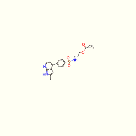 Cc1cc2c(-c3ccc(S(=O)(=O)NCCCOC(=O)C(F)(F)F)cc3)ccnc2[nH]1